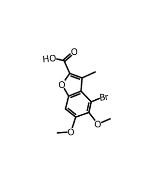 COc1cc2oc(C(=O)O)c(C)c2c(Br)c1OC